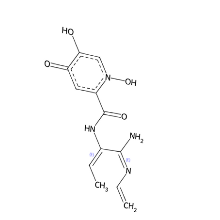 C=C/N=C(N)\C(=C/C)NC(=O)c1cc(=O)c(O)cn1O